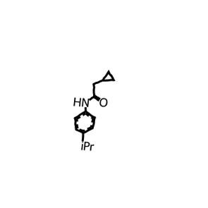 CC(C)c1ccc(NC(=O)CC2CC2)cc1